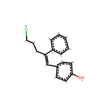 Oc1ccc(C=C(CCCCl)c2ccccc2)cc1